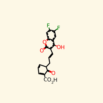 O=C(O)C1=CC=CC(CC=Cc2c(O)c3cc(F)c(F)cc3oc2=O)C1=O